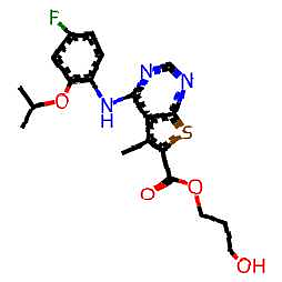 Cc1c(C(=O)OCCCO)sc2ncnc(Nc3ccc(F)cc3OC(C)C)c12